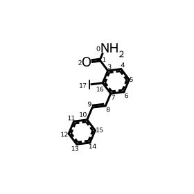 NC(=O)c1cccc(C=Cc2ccccc2)c1I